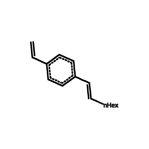 C=Cc1ccc(/C=C/CCCCCC)cc1